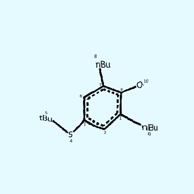 CCCCc1cc(SC(C)(C)C)cc(CCCC)c1[O]